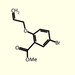 C=CCOc1ccc(Br)cc1C(=O)OC